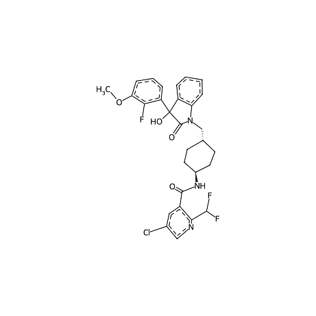 COc1cccc(C2(O)C(=O)N(C[C@H]3CC[C@H](NC(=O)c4cc(Cl)cnc4C(F)F)CC3)c3ccccc32)c1F